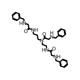 O=C(CNCc1ccccc1)NCCCN(CCNC(=O)CNCc1ccccc1)C(=O)CNCc1ccccc1